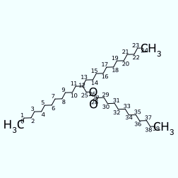 CCCCCCCCCCCCC(CCCCCCCCCCCC)COC(=O)CCCCCCCCCCC